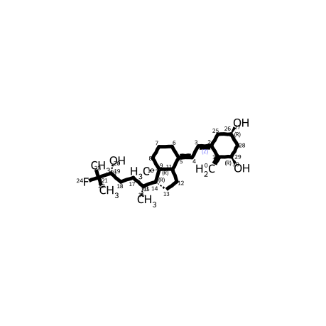 C=C1/C(=C\C=C2CCC[C@@]3(C)C2CC[C@@H]3[C@H](C)CC[C@@H](O)C(C)(C)F)C[C@@H](O)C[C@H]1O